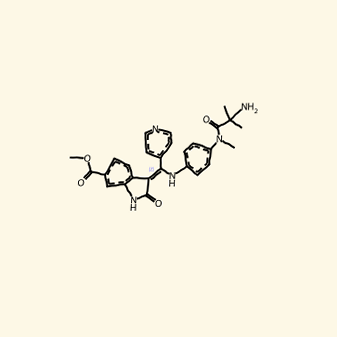 COC(=O)c1ccc2c(c1)NC(=O)/C2=C(\Nc1ccc(N(C)C(=O)C(C)(C)N)cc1)c1ccncc1